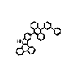 c1ccc(-c2cccc(-c3c4ccccc4c(-c4ccc5[nH]c6c7ccccc7c7ccccc7c6c5c4)c4ccccc34)c2)cc1